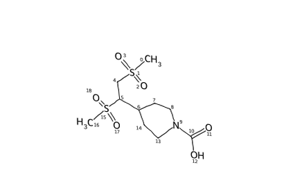 CS(=O)(=O)CC(C1CCN(C(=O)O)CC1)S(C)(=O)=O